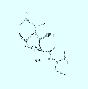 CCC(NC(=O)c1c(N)cc(=O)n(C(CC)N(C)C)c1N)N(C)C